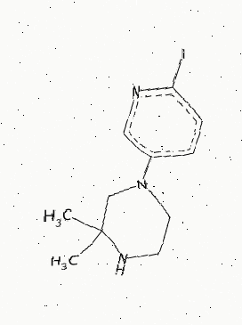 CC1(C)CN(c2ccc(I)nc2)CCN1